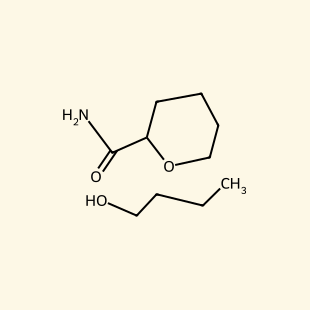 CCCCO.NC(=O)C1CCCCO1